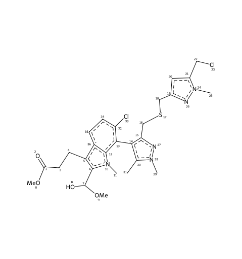 COC(=O)CCc1c(C(O)OC)n(C)c2c(-c3c(CSCc4cc(CCl)n(C)n4)nn(C)c3C)c(Cl)ccc12